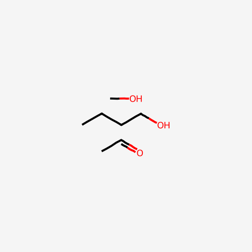 CC=O.CCCCO.CO